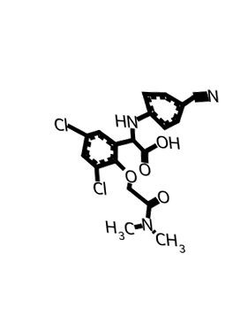 CN(C)C(=O)COc1c(Cl)cc(Cl)cc1C(Nc1ccc(C#N)cc1)C(=O)O